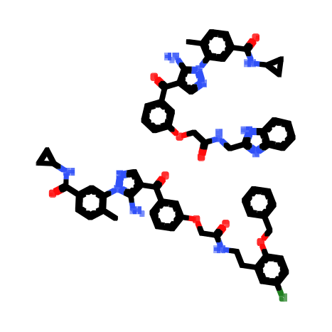 Cc1ccc(C(=O)NC2CC2)cc1-n1ncc(C(=O)c2cccc(OCC(=O)NCCc3cc(Cl)ccc3OCc3ccccc3)c2)c1N.Cc1ccc(C(=O)NC2CC2)cc1-n1ncc(C(=O)c2cccc(OCC(=O)NCc3nc4ccccc4[nH]3)c2)c1N